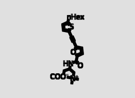 CCCCCCc1ccc(C#Cc2ccc(C(=O)NC(CC(=O)[O-])C[N+](C)(C)C)o2)s1